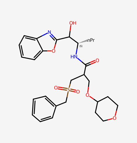 CCC[C@H](NC(=O)C(COC1CCOCC1)CS(=O)(=O)Cc1ccccc1)C(O)c1nc2ccccc2o1